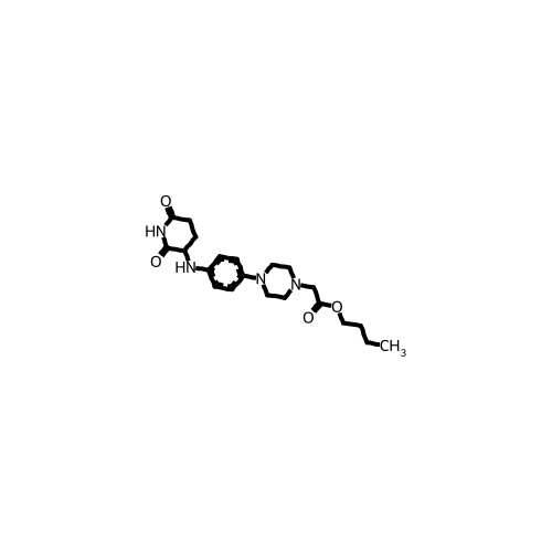 CCCCOC(=O)CN1CCN(c2ccc(NC3CCC(=O)NC3=O)cc2)CC1